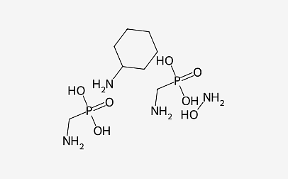 NC1CCCCC1.NCP(=O)(O)O.NCP(=O)(O)O.NO